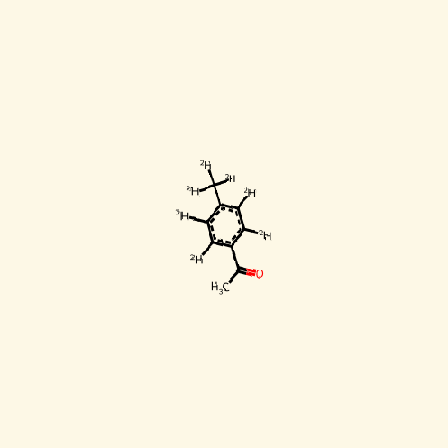 [2H]c1c([2H])c(C([2H])([2H])[2H])c([2H])c([2H])c1C(C)=O